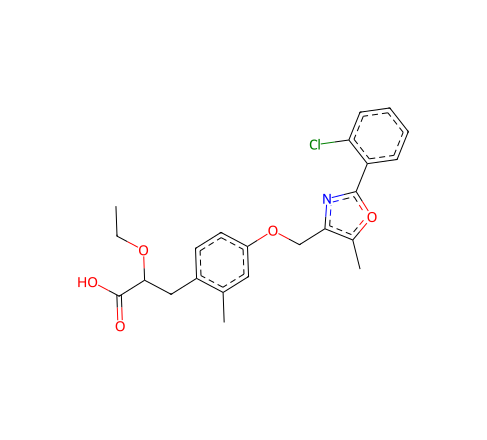 CCOC(Cc1ccc(OCc2nc(-c3ccccc3Cl)oc2C)cc1C)C(=O)O